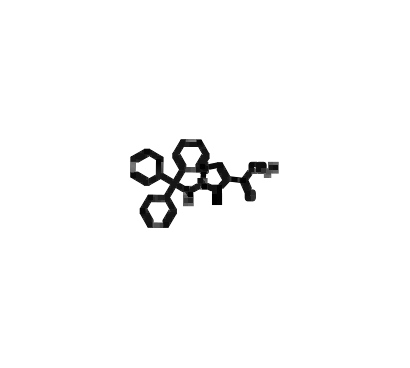 O=C(O)C(=O)C1=CSN(NC(c2ccccc2)(c2ccccc2)c2ccccc2)N1